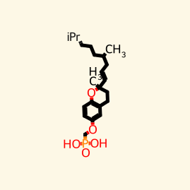 CC(C)CCCC(C)C/C=C/C1(C)CCc2cc(OCP(=O)(O)O)ccc2O1